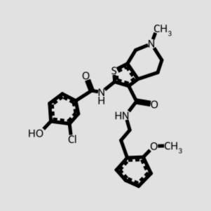 COc1ccccc1CCNC(=O)c1c(NC(=O)c2ccc(O)c(Cl)c2)sc2c1CCN(C)C2